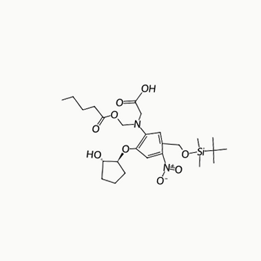 CCCCC(=O)OCN(CC(=O)O)c1cc(CO[Si](C)(C)C(C)(C)C)c([N+](=O)[O-])cc1O[C@H]1CCC[C@@H]1O